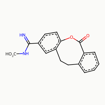 N=C(NC(=O)O)c1ccc2c(c1)CCc1ccccc1C(=O)O2